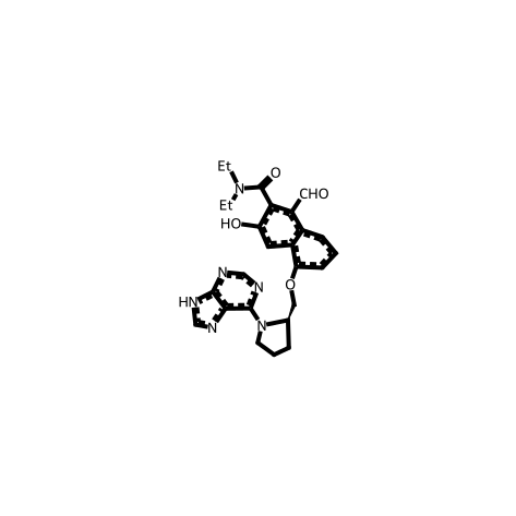 CCN(CC)C(=O)c1c(O)cc2c(OC[C@H]3CCCN3c3ncnc4[nH]cnc34)cccc2c1C=O